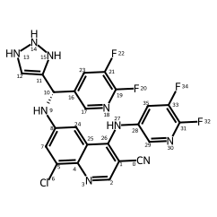 N#Cc1cnc2c(Cl)cc(N[C@H](C3=CNNN3)c3cnc(F)c(F)c3)cc2c1Nc1cnc(F)c(F)c1